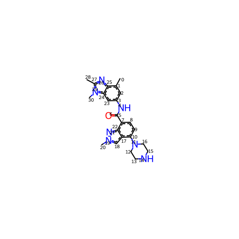 Cc1cc(NC(=O)c2ccc(N3CCNCC3)c3cn(C)nc23)cc2c1nc(C)n2C